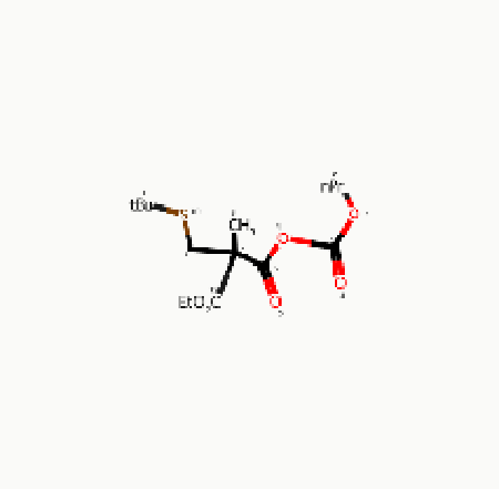 CCCOC(=O)OC(=O)C(C)(CSC(C)(C)C)C(=O)OCC